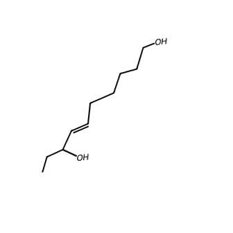 CCC(O)C=CCCCCCO